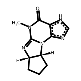 CN1C(=O)c2[nH]cnc2N2C1=N[C@H]1CCC[C@H]12